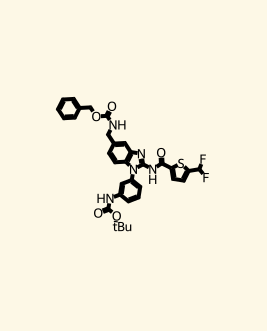 CC(C)(C)OC(=O)Nc1cccc(-n2c(NC(=O)c3ccc(C(F)F)s3)nc3cc(CNC(=O)OCc4ccccc4)ccc32)c1